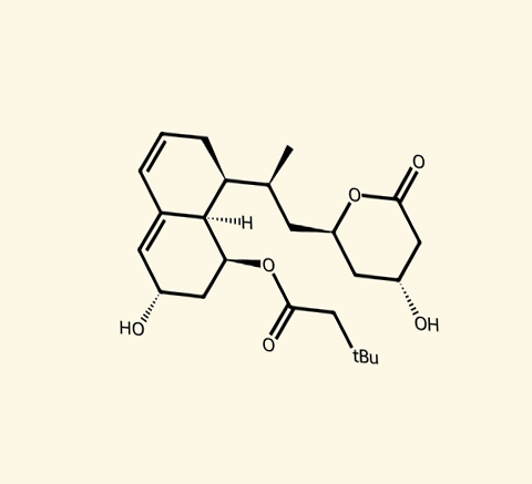 C[C@@H](C[C@@H]1C[C@@H](O)CC(=O)O1)[C@@H]1CC=CC2=C[C@@H](O)C[C@H](OC(=O)CC(C)(C)C)[C@@H]21